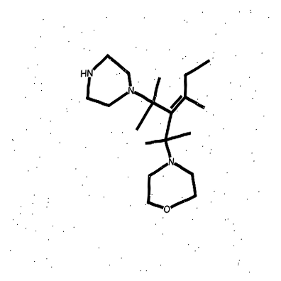 CCC(C)=C(C(C)(C)N1CCNCC1)C(C)(C)N1CCOCC1